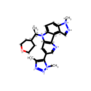 Cc1nnn(C)c1-c1cnc2c3c4cnn(C)c4ccc3n([C@H](C)C3CCOCC3)c2c1